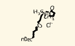 CCCCCCCCCCCCC=COCCC[N+](C)(C)CN1CCCC1=O.[Cl-]